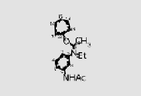 CCN(c1cccc(NC(C)=O)c1)C(C)Oc1ccccc1